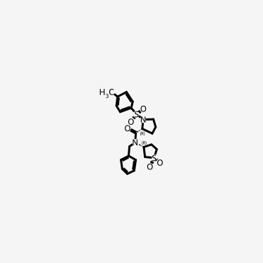 Cc1ccc(S(=O)(=O)N2CCC[C@@H]2C(=O)N(Cc2ccccc2)[C@@H]2CCS(=O)(=O)C2)cc1